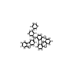 c1ccc(-c2cccc(N(c3ccc4oc5ccccc5c4c3)c3ccc4c5c3c3cccc6c3n5-c3c(cccc3O4)O6)c2)cc1